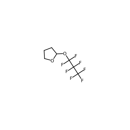 FC(F)(F)C(F)(F)C(F)(F)OC1CCCO1